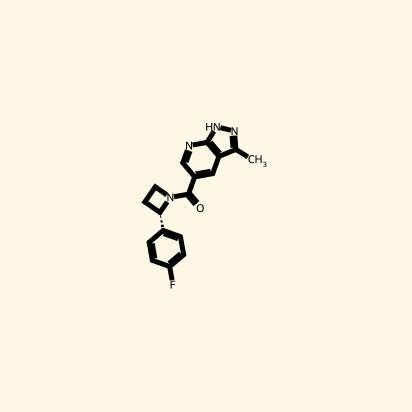 Cc1n[nH]c2ncc(C(=O)N3CC[C@H]3c3ccc(F)cc3)cc12